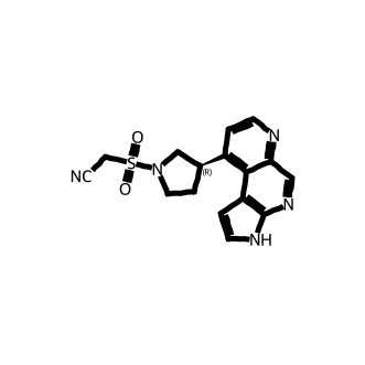 N#CCS(=O)(=O)N1CC[C@H](c2ccnc3cnc4[nH]ccc4c23)C1